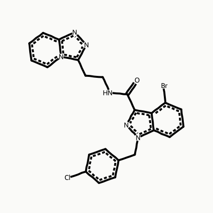 O=C(NCCc1nnc2ccccn12)c1nn(Cc2ccc(Cl)cc2)c2cccc(Br)c12